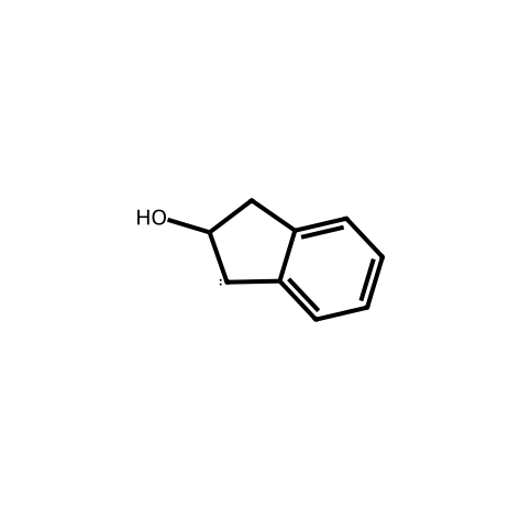 OC1[C]c2ccccc2C1